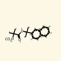 CC(C)(C(=O)O)C(=O)OC(C)(C)c1ccc2ccccc2c1